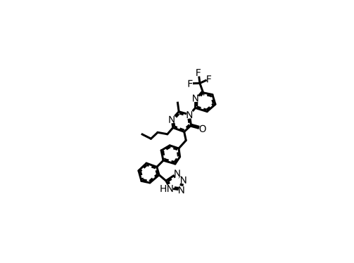 CCCCc1nc(C)n(-c2cccc(C(F)(F)F)n2)c(=O)c1Cc1ccc(-c2ccccc2-c2nnn[nH]2)cc1